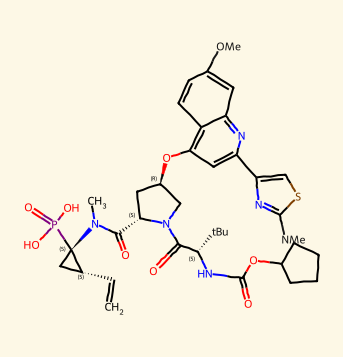 C=C[C@@H]1C[C@]1(N(C)C(=O)[C@@H]1C[C@@H](Oc2cc(-c3csc(NC)n3)nc3cc(OC)ccc23)CN1C(=O)[C@@H](NC(=O)OC1CCCC1)C(C)(C)C)P(=O)(O)O